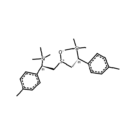 Cc1ccc([C@H](C[S+]([O-])C[C@@H](c2ccc(C)cc2)[Si](C)(C)C)[Si](C)(C)C)cc1